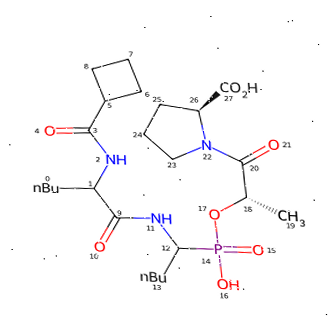 CCCCC(NC(=O)C1CCC1)C(=O)NC(CCCC)P(=O)(O)O[C@@H](C)C(=O)N1CCC[C@H]1C(=O)O